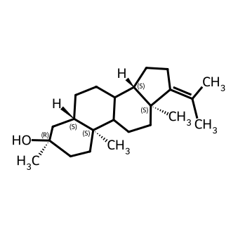 CC(C)=C1CC[C@H]2C3CC[C@H]4C[C@](C)(O)CC[C@]4(C)C3CC[C@]12C